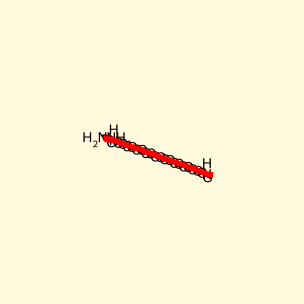 CC(=O)NCCOCCOCCOCCOCCOCCOCCOCCOCCOCCOCCOCCOCCOCCOCCOCCOCCOCCOCCOCCNC(=O)[C@H](N)CCCCN